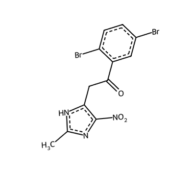 Cc1nc([N+](=O)[O-])c(CC(=O)c2cc(Br)ccc2Br)[nH]1